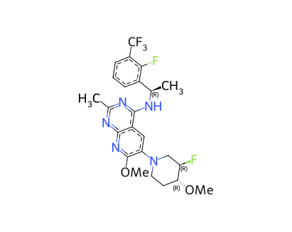 COc1nc2nc(C)nc(N[C@H](C)c3cccc(C(F)(F)F)c3F)c2cc1N1CC[C@@H](OC)[C@H](F)C1